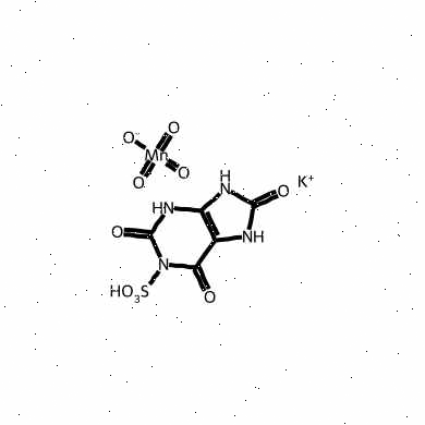 O=c1[nH]c2[nH]c(=O)n(S(=O)(=O)O)c(=O)c2[nH]1.[K+].[O]=[Mn](=[O])(=[O])[O-]